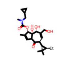 CC[C@@H]1[C@H]([C@@H]2C=C(CO)[C@@H](O)[C@@]3(O)C(C=C(C)[C@@H]3OC(=O)N(C)CC3CC3)C2=O)C1(C)C